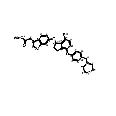 COC(=O)CC1COc2cc(O[C@@H]3CCc4c(Oc5ccc(CN6CCOCC6)cc5)ccc(F)c43)ccc21